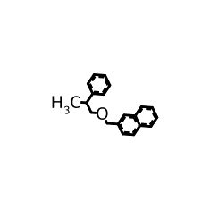 CC(COCc1ccc2ccccc2c1)c1ccccc1